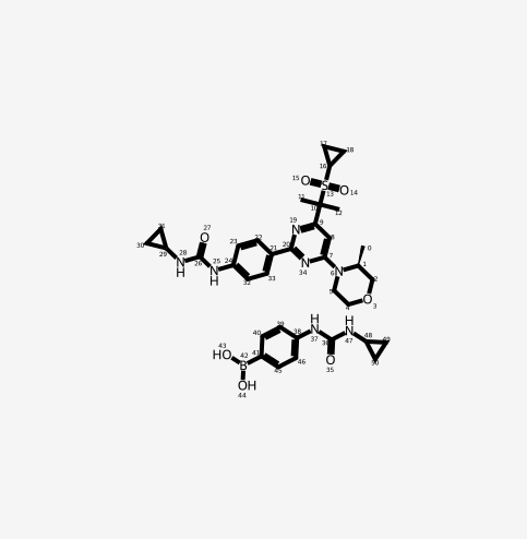 C[C@H]1COCCN1c1cc(C(C)(C)S(=O)(=O)C2CC2)nc(-c2ccc(NC(=O)NC3CC3)cc2)n1.O=C(Nc1ccc(B(O)O)cc1)NC1CC1